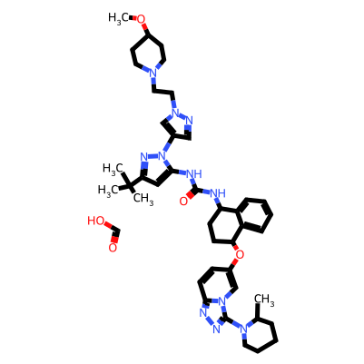 COC1CCN(CCn2cc(-n3nc(C(C)(C)C)cc3NC(=O)NC3CCC(Oc4ccc5nnc(N6CCCCC6C)n5c4)c4ccccc43)cn2)CC1.O=CO